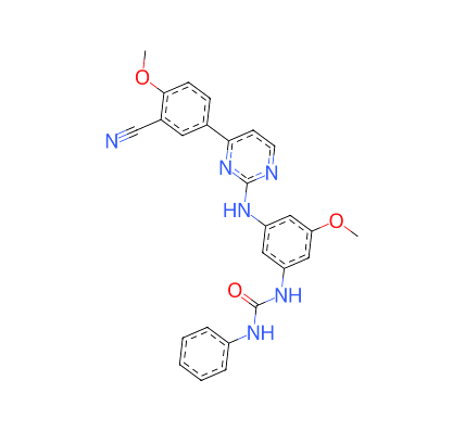 COc1cc(NC(=O)Nc2ccccc2)cc(Nc2nccc(-c3ccc(OC)c(C#N)c3)n2)c1